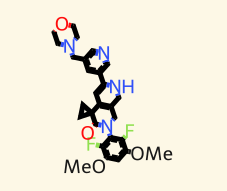 COc1cc(OC)c(F)c(N2CC3=C(C=C(c4cncc(CN5CCOCC5)c4)NC3)C3(CC3)C2=O)c1F